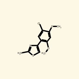 COc1cc(OC)c(-c2csc(N)n2)cc1Cl